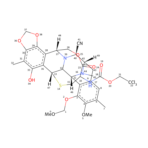 COCOc1c(OC)c(C)cc2c1[C@@H]1C3[C@@H]4SCC(NC(=O)OCC(Cl)(Cl)Cl)C(=O)OC[C@@H](c5c6c(c(C)c(O)c54)OCO6)N3[C@@H](C#N)[C@H](C2)N1C